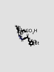 CCOc1cccc(CCC(C)C#C/C=C\C=C\OCC(CN(C)C)OC(=O)CCC(=O)O)c1